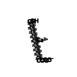 O=C([O-])CCCCCCCCCCCCCCCCCO.O=C([O-])CCCCCCCCCCCCCCCCCO.[Ca+2]